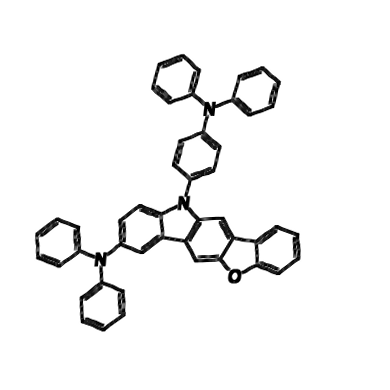 c1ccc(N(c2ccccc2)c2ccc(-n3c4ccc(N(c5ccccc5)c5ccccc5)cc4c4cc5oc6ccccc6c5cc43)cc2)cc1